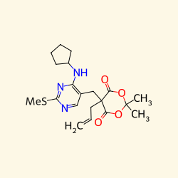 C=CCC1(Cc2cnc(SC)nc2NC2CCCC2)C(=O)OC(C)(C)OC1=O